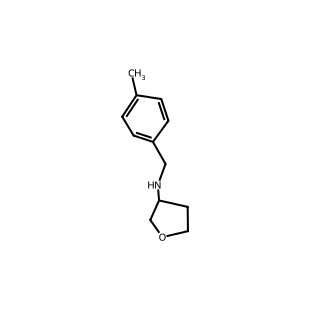 Cc1ccc(CNC2CCOC2)cc1